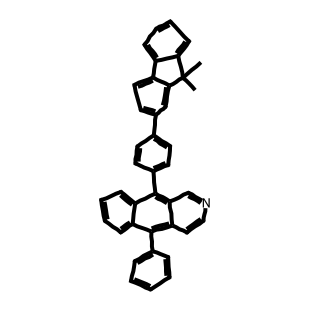 CC1(C)c2ccccc2-c2ccc(-c3ccc(-c4c5ccccc5c(-c5ccccc5)c5ccncc45)cc3)cc21